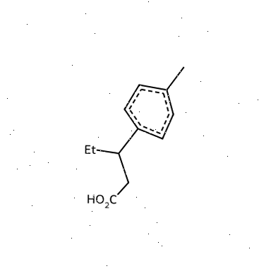 CCC(CC(=O)O)c1ccc(C)cc1